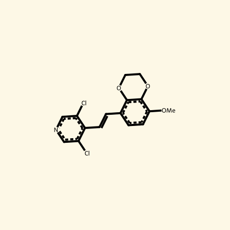 COc1ccc(C=Cc2c(Cl)cncc2Cl)c2c1OCCO2